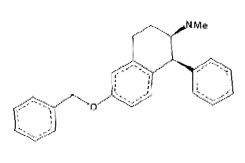 CN[C@@H]1CCc2cc(OCc3ccccc3)ccc2[C@@H]1c1ccccc1